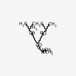 CCCCCC(CCCCC)CCOC(=O)CCCCCCCC(CCCCCCCC(=O)OCCC(CCCCC)CCCCC)OC(=O)OCCc1cnc(N(C)C)s1